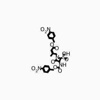 CC(=CC(=O)OCc1ccc([N+](=O)[O-])cc1)CN1C(=O)C(NC(=O)OCc2ccc([N+](=O)[O-])cc2)C1S(=O)O